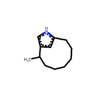 CC1CCCCCCc2cc1c[nH]2